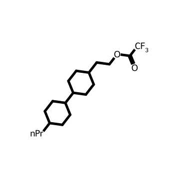 CCCC1CCC(C2CCC(CCOC(=O)C(F)(F)F)CC2)CC1